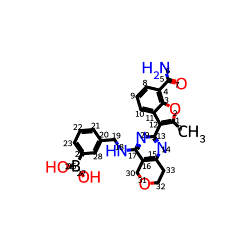 Cc1oc2c(C(N)=O)cccc2c1-c1nc2c(c(NCc3cccc(B(O)O)c3)n1)COCC2